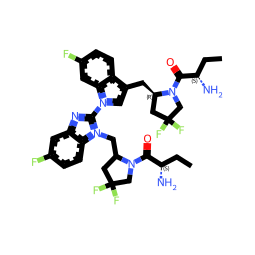 CC[C@H](N)C(=O)N1CC(F)(F)CC1Cn1c(-n2cc(C[C@@H]3CC(F)(F)CN3C(=O)[C@@H](N)CC)c3ccc(F)cc32)nc2cc(F)ccc21